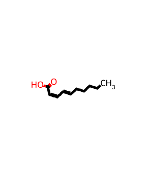 CCCCCC=C/C=C\C(=O)O